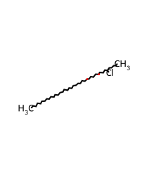 CCCCCCCCCCCCCCCCCCCCCCCCCCCCCCCCCCC(Cl)CCCCC